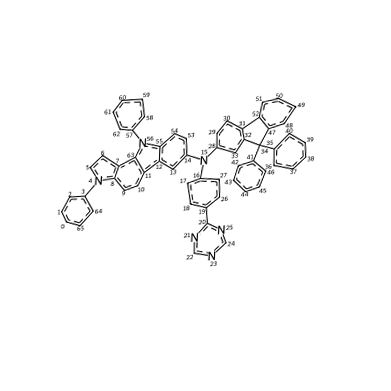 c1ccc(-n2ccc3c2ccc2c4cc(N(c5ccc(-c6ncncn6)cc5)c5ccc6c(c5)C(c5ccccc5)(c5ccccc5)c5ccccc5-6)ccc4n(-c4ccccc4)c23)cc1